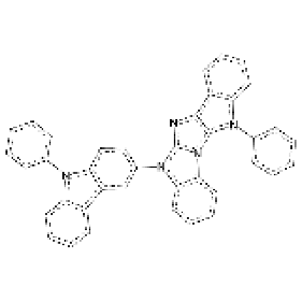 c1ccc(-n2c3ccccc3c3cc(-n4c5ccccc5n5c4nc4c6ccccc6n(-c6ccccc6)c45)ccc32)cc1